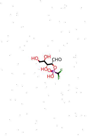 O=C[C@H](OP(=O)(O)C(F)F)[C@H](O)[C@H](O)CO